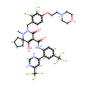 CN1N(Cc2ccc(OCCN3CCOCC3)c(F)c2F)C(=O)C(C(=O)Nc2ccc(C(F)(F)F)cc2-c2cc(C(F)(F)F)ncn2)=C(O)C12CCCC2